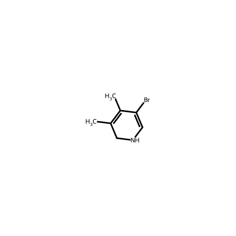 CC1=C(C)C(Br)=CNC1